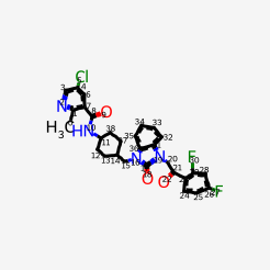 Cc1ncc(Cl)cc1C(=O)NC1CCC(Cn2c(=O)n(CC(=O)c3ccc(F)cc3F)c3ccccc32)CC1